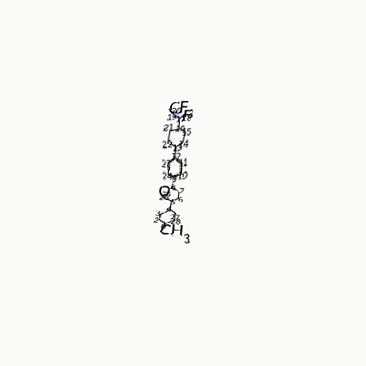 CC1CCC(C2CCC(c3ccc(C4CCC(/C(F)=C/C(F)(F)F)CC4)cc3)OC2)CC1